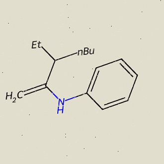 C=C(Nc1ccccc1)C(CC)CCCC